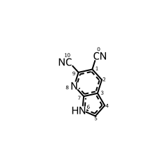 N#Cc1cc2cc[nH]c2nc1C#N